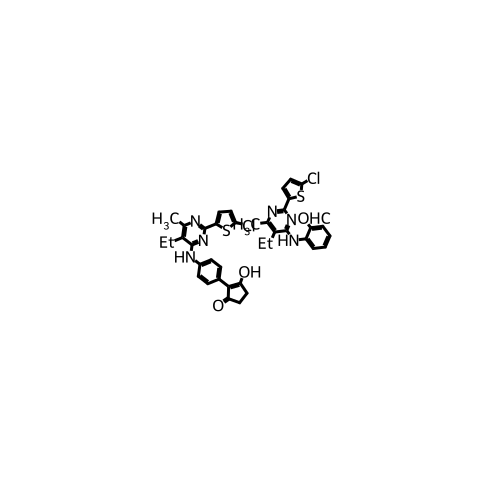 CCc1c(C)nc(-c2ccc(Cl)s2)nc1Nc1ccc(C2=C(O)CCC2=O)cc1.CCc1c(C)nc(-c2ccc(Cl)s2)nc1Nc1ccccc1C=O